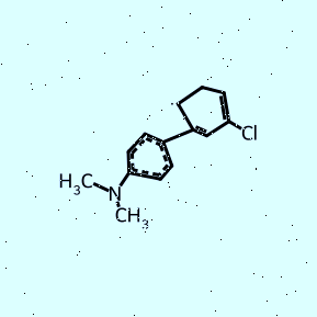 CN(C)c1ccc(C2=CC(Cl)=CC[CH]2)cc1